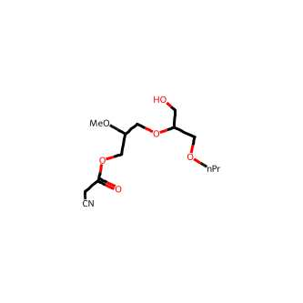 CCCOCC(CO)OCC(COC(=O)CC#N)OC